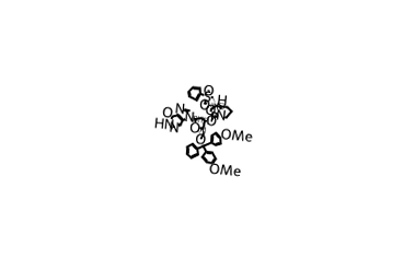 COc1ccc(C(OC[C@H]2O[C@@H](n3cnc4c(=O)[nH]ncc43)C[C@@H]2O[P@@]2O[C@H](CS(=O)(=O)c3ccccc3)[C@@H]3CCCN32)(c2ccccc2)c2ccc(OC)cc2)cc1